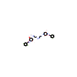 CN(CCCN(C)C1=CC(=O)c2nc(-c3cc(F)ccc3F)oc2C1=O)CCCN(C)C1=CC(=O)c2nc(-c3cc(F)ccc3F)oc2C1=O